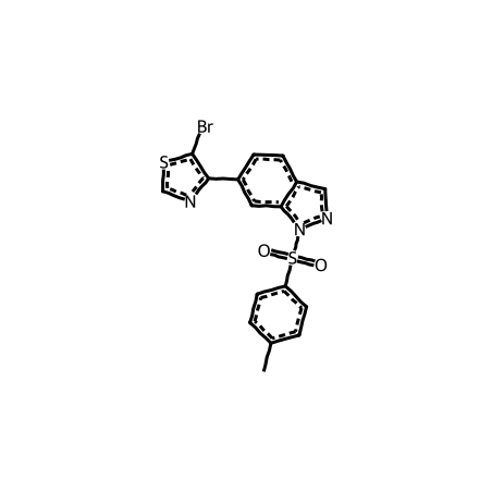 Cc1ccc(S(=O)(=O)n2ncc3ccc(-c4ncsc4Br)cc32)cc1